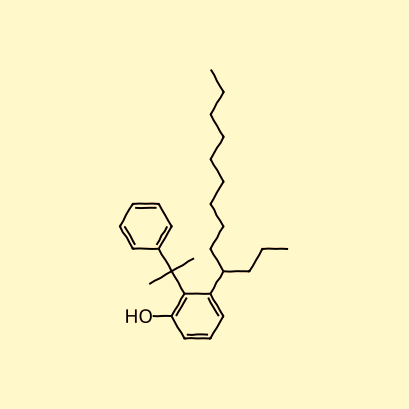 CCCCCCCCCC(CCC)c1cccc(O)c1C(C)(C)c1ccccc1